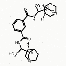 O=C(NC(C(=O)O)[C@@H]1CN2CCC1CC2)c1cccc(C(=O)NC(C(=O)O)[C@@H]2CN3CCC2CC3)c1